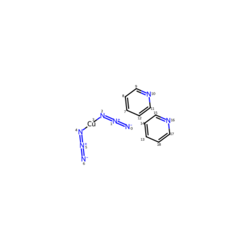 [N-]=[N+]=[N][Cu][N]=[N+]=[N-].c1ccncc1.c1ccncc1